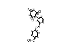 O=Cc1ccc(OCc2cccc(-c3c(Cl)cc(F)cc3Cl)c2)cc1